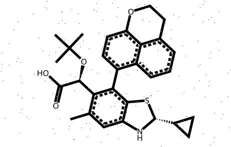 Cc1cc2c(c(-c3ccc4c5c(cccc35)CCO4)c1[C@H](OC(C)(C)C)C(=O)O)S[C@H](C1CC1)N2